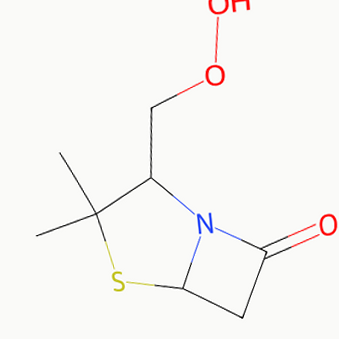 CC1(C)SC2CC(=O)N2C1COO